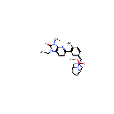 Cn1c(=O)n(CC(C)(C)C)c2ccc(-c3cc(CN4CC5CCC(C4)N5C(=O)OC(C)(C)C)ccc3C#N)nc21